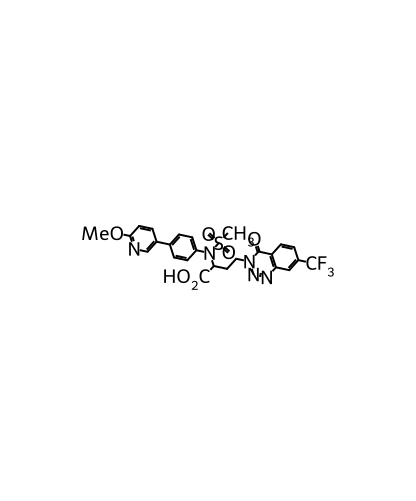 COc1ccc(-c2ccc(N(C(CCn3nnc4cc(C(F)(F)F)ccc4c3=O)C(=O)O)S(C)(=O)=O)cc2)cn1